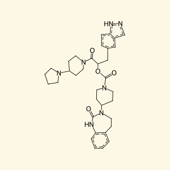 O=C(OC(Cc1ccc2[nH]ncc2c1)C(=O)N1CCC(N2CCCC2)CC1)N1CCC(N2CCc3ccccc3NC2=O)CC1